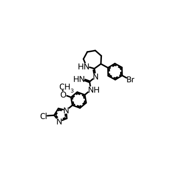 COc1cc(NC(=N)/N=C2\NCCCCC2c2ccc(Br)cc2)ccc1-n1cnc(Cl)c1